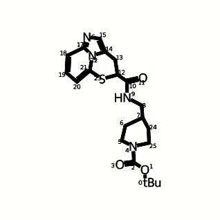 CC(C)(C)OC(=O)N1CCC(CNC(=O)C2Cc3cnc4cccc(n34)S2)CC1